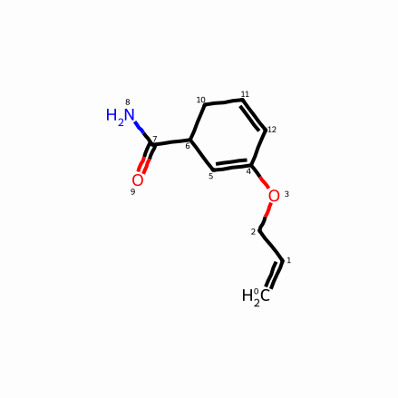 C=CCOC1=CC(C(N)=O)CC=C1